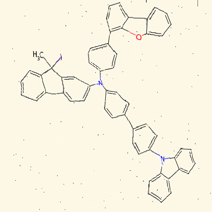 CC1(I)c2ccccc2-c2ccc(N(c3ccc(-c4ccc(-n5c6ccccc6c6ccccc65)cc4)cc3)c3ccc(-c4cccc5c4oc4ccccc45)cc3)cc21